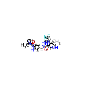 CC1CNCc2c(C(=O)NCc3ccc(NC(=O)N(C)C)cc3)nn(CC(F)(F)F)c21